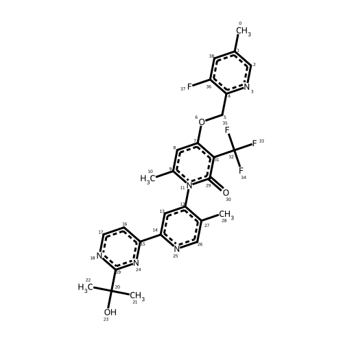 Cc1cnc(COc2cc(C)n(-c3cc(-c4ccnc(C(C)(C)O)n4)ncc3C)c(=O)c2C(F)(F)F)c(F)c1